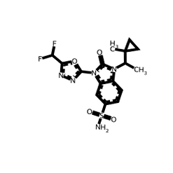 CC(n1c(=O)n(-c2nnc(C(F)F)o2)c2cc(S(N)(=O)=O)ccc21)C1(C)CC1